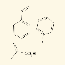 C=C(C)C(=O)O.C=Cc1ccccc1.Cc1ccccc1